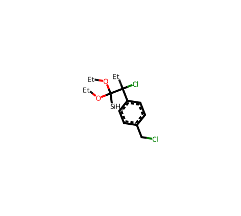 CCOC([SiH3])(OCC)C(Cl)(CC)c1ccc(CCl)cc1